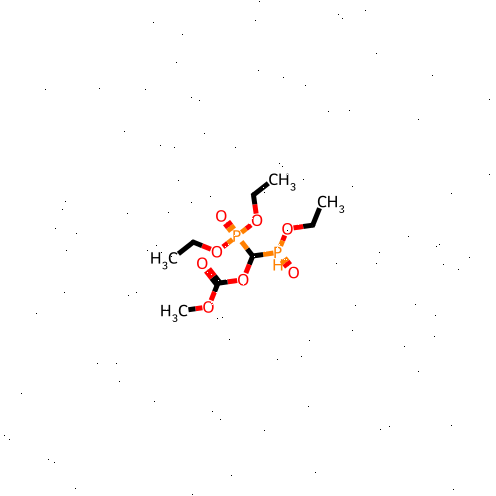 CCO[PH](=O)C(OC(=O)OC)P(=O)(OCC)OCC